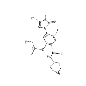 CC(C)C[C@H](C)Oc1cc(-n2nc(C(C)C)n(C)c2=O)c(F)cc1C(=O)NC1CCNCC1